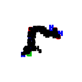 C[C@H]1CC2(CCN(c3ccc(C(=O)N4CC(CN5CCN(c6cccc(N[C@H]7CCC(=O)NC7=O)c6)CC5)C4)nn3)CC2)CN1c1ccc(C#N)c(Cl)c1